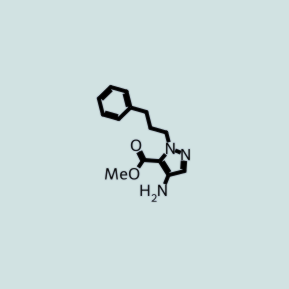 COC(=O)c1c(N)cnn1CCCc1ccccc1